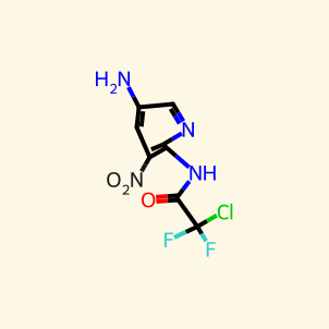 Nc1cnc(NC(=O)C(F)(F)Cl)c([N+](=O)[O-])c1